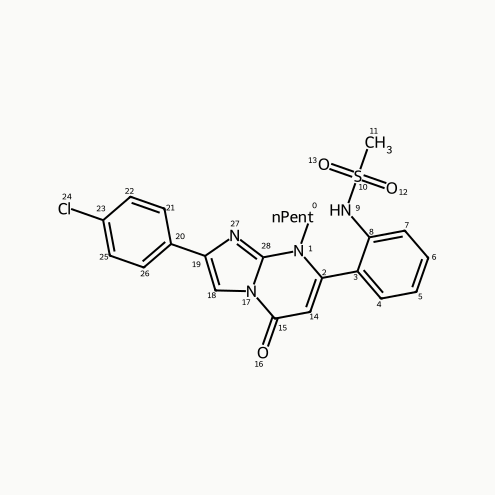 CCCCCn1c(-c2ccccc2NS(C)(=O)=O)cc(=O)n2cc(-c3ccc(Cl)cc3)nc12